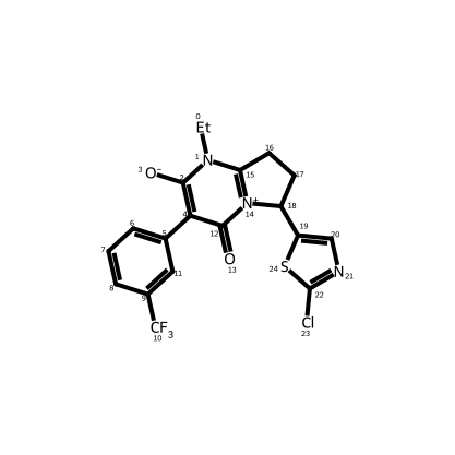 CCn1c([O-])c(-c2cccc(C(F)(F)F)c2)c(=O)[n+]2c1CCC2c1cnc(Cl)s1